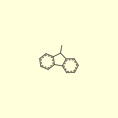 CC1c2c[c]ccc2-c2cc[c]cc21